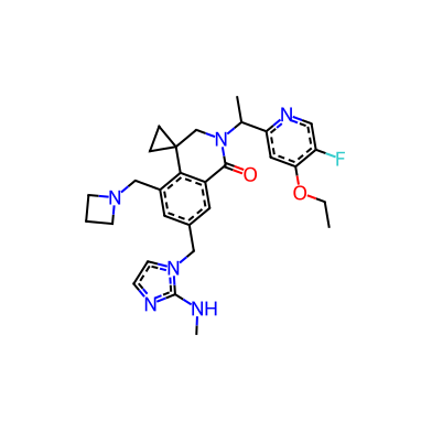 CCOc1cc(C(C)N2CC3(CC3)c3c(CN4CCC4)cc(Cn4ccnc4NC)cc3C2=O)ncc1F